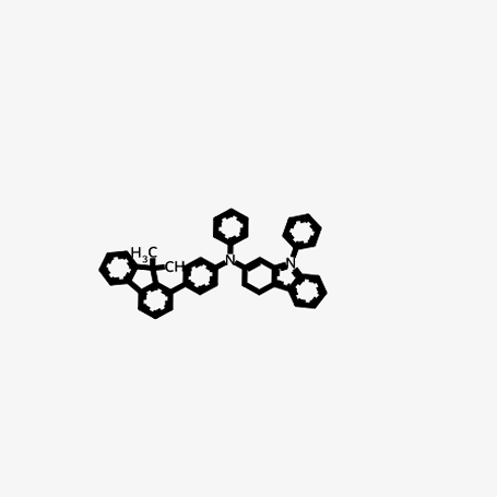 CC1(C)c2ccccc2-c2cccc(-c3ccc(N(C4=Cc5c(c6ccccc6n5-c5ccccc5)CC4)c4ccccc4)cc3)c21